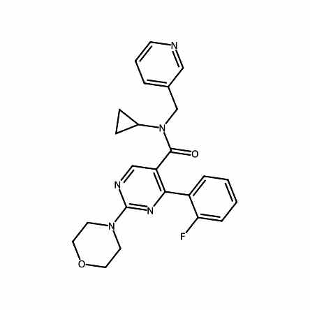 O=C(c1cnc(N2CCOCC2)nc1-c1ccccc1F)N(Cc1cccnc1)C1CC1